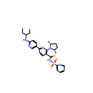 CCC(CC)Nc1ccc(-c2ccc(C(=O)NS(=O)(=O)c3ccccn3)c(N3[C@H](C)CC[C@@H]3C)n2)cn1